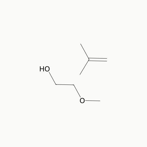 C=C(C)C.COCCO